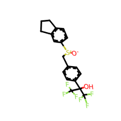 [O-][S+](Cc1ccc(C(O)(C(F)(F)F)C(F)(F)F)cc1)c1ccc2c(c1)CCC2